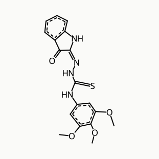 COc1cc(NC(=S)NN=C2Nc3ccccc3C2=O)cc(OC)c1OC